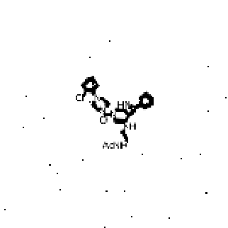 CC(=O)NCCNC1=CN(C(=O)N2CCN(c3ccccc3Cl)CC2)Cc2[nH]c(-c3ccccc3)cc21